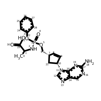 CC(N[P@](=O)(OC[C@@H]1C=C[C@H](n2cnc3cnc(N)nc32)C1)Oc1ccccc1)C(=O)O